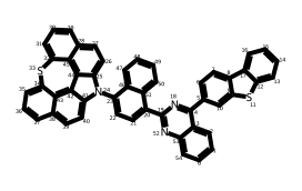 c1ccc2c(-c3ccc4c(c3)sc3ccccc34)nc(-c3ccc(-n4c5ccc6cccc7sc8cccc9ccc4c(c98)c5c67)c4ccccc34)nc2c1